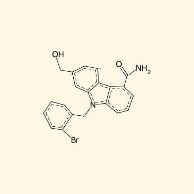 NC(=O)c1cccc2c1c1[c]cc(CO)cc1n2Cc1ccccc1Br